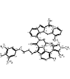 Cc1cccnc1Cn1c(C(=O)O)cc2cccc(N3C[C@@H](C)n4c(c(CCCOc5cc(C)c(Cl)c(C)c5)c5ccc(Cl)c(-c6c(C)nn(C)c6C)c54)C3=O)c21